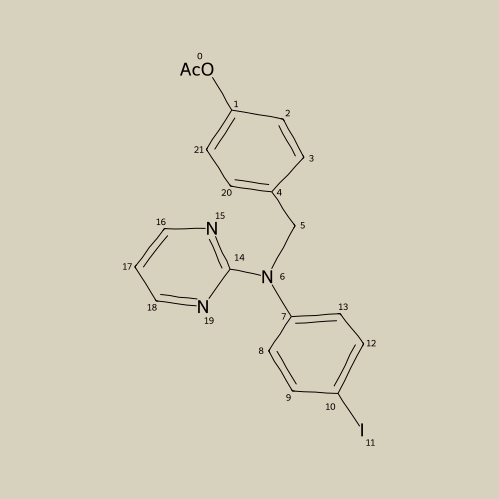 CC(=O)Oc1ccc(CN(c2ccc(I)cc2)c2ncccn2)cc1